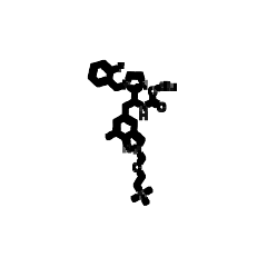 Cc1cc(CC(NC(=O)OC(C)(C)C)c2nccn2Cc2ccccc2F)cc2cn(COCC[Si](C)(C)C)nc12